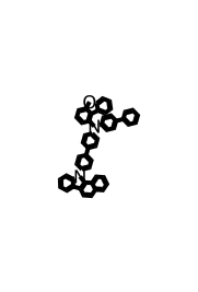 c1ccc(-c2ccc(N(c3ccc(-c4ccc(-n5c6ccccc6c6ccc7ccccc7c65)cc4)cc3)c3cccc4oc5ccccc5c34)cc2)cc1